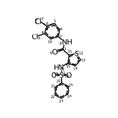 O=C(Nc1ccc(Cl)c(Cl)c1)c1sccc1NS(=O)(=O)c1ccccc1